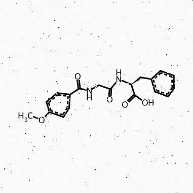 COc1ccc(C(=O)NCC(=O)N[C@@H](Cc2ccccc2)C(=O)O)cc1